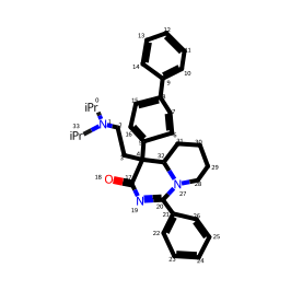 CC(C)N(CCC1(c2ccc(-c3ccccc3)cc2)C(=O)N=C(c2ccccc2)N2CCCCC21)C(C)C